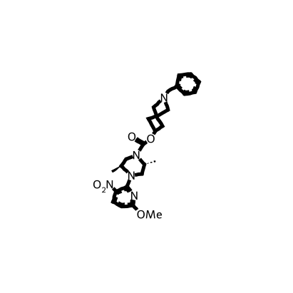 COc1ccc([N+](=O)[O-])c(N2C[C@@H](C)N(C(=O)OC3CC4(C3)CN(Cc3ccccc3)C4)C[C@@H]2C)n1